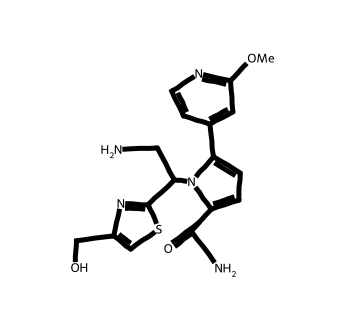 COc1cc(-c2ccc(C(N)=O)n2C(CN)c2nc(CO)cs2)ccn1